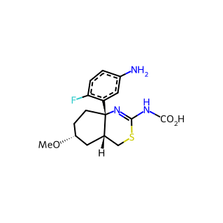 CO[C@@H]1CC[C@]2(c3cc(N)ccc3F)N=C(NC(=O)O)SC[C@@H]2C1